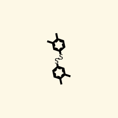 Cc1ccc(SSc2ccc(C)c(C)c2)cc1C